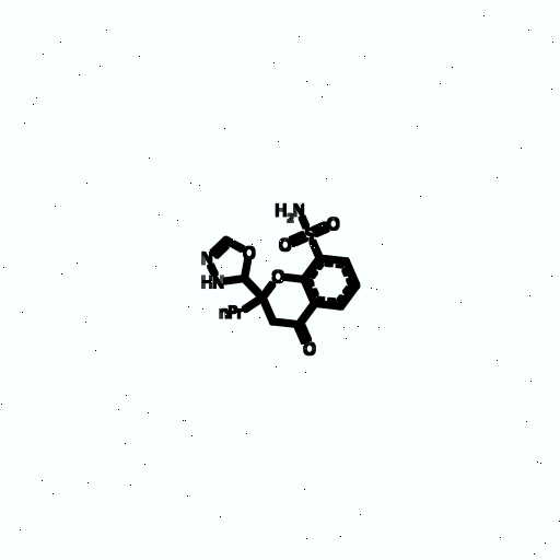 CCCC1(C2NN=CO2)CC(=O)c2cccc(S(N)(=O)=O)c2O1